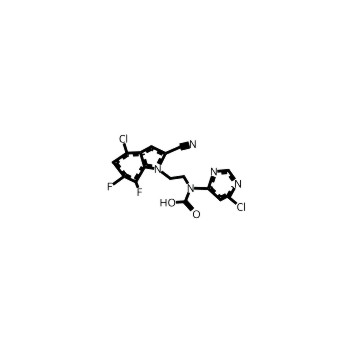 N#Cc1cc2c(Cl)cc(F)c(F)c2n1CCN(C(=O)O)c1cc(Cl)ncn1